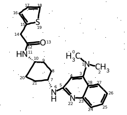 CN(C)c1cc(N[C@H]2CC[C@@H](NC(=O)Cc3cccs3)CC2)nc2ccccc12